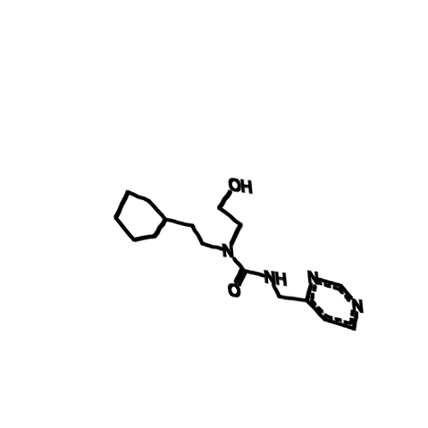 O=C(NCc1ccncn1)N(CCO)CCC1CCCCC1